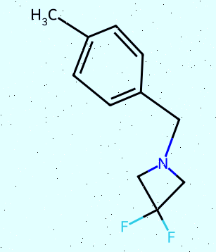 Cc1ccc(CN2CC(F)(F)C2)cc1